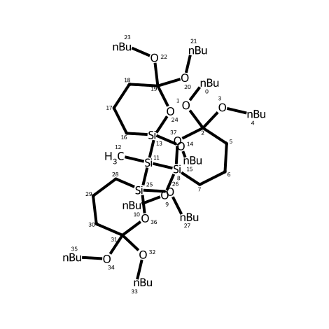 CCCCOC1(OCCCC)CCC[Si](OCCCC)([Si](C)([Si]2(OCCCC)CCCC(OCCCC)(OCCCC)O2)[Si]2(OCCCC)CCCC(OCCCC)(OCCCC)O2)O1